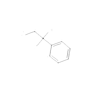 OC(Cl)([CH]Cl)c1ccccc1